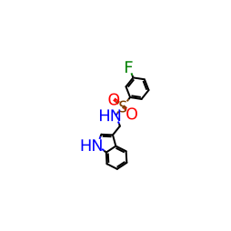 O=S(=O)(NCc1c[nH]c2ccccc12)c1cccc(F)c1